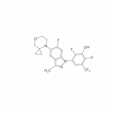 Cc1nn(-c2cc(C(F)(F)F)c(F)c(O)c2F)c2cc(F)c(N3CCOCC34CC4)cc12